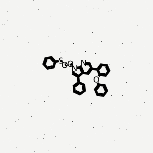 c1ccc(Oc2ccccc2-c2cnc3c(c2)c(-c2ccccc2)cn3OOSc2ccccc2)cc1